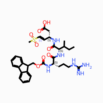 CCC(C)[C@H](NC(=O)[C@H](CCCNC(=N)N)NC(=O)OCC1c2ccccc2-c2ccccc21)C(=O)N[C@H](/C=C/S(C)(=O)=O)CC(=O)O